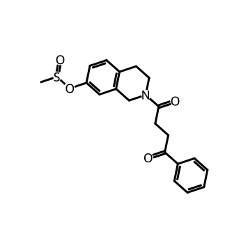 CS(=O)Oc1ccc2c(c1)CN(C(=O)CCC(=O)c1ccccc1)CC2